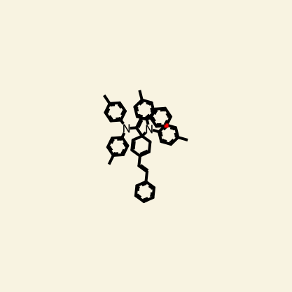 Cc1ccc(N(C(=Cc2ccccc2)C2(N(c3ccc(C)cc3)c3ccc(C)cc3)C=CC(C=Cc3ccccc3)=CC2)c2ccc(C)cc2)cc1